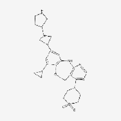 O=S1(=O)CCN(c2ncnc3c2COc2c(cc(C4CN(C5CCNC5)C4)cc2C2CC2)N3)CC1